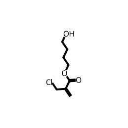 C=C(CCl)C(=O)OCCCCO